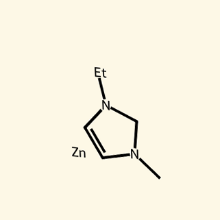 CCN1C=CN(C)C1.[Zn]